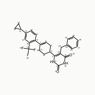 O=c1[nH]c(C2CC=C(c3ccc(C4CC4)cc3C(F)(F)F)CC2)c(Cc2ccccc2)c(=O)[nH]1